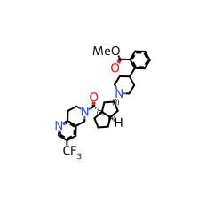 COC(=O)c1ccccc1C1CCN([C@@H]2C[C@H]3CCC[C@@]3(C(=O)N3CCc4ncc(C(F)(F)F)cc4C3)C2)CC1